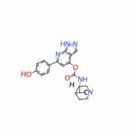 O=C(N[C@H]1CN2CCC1CC2)Oc1cc(-c2ccc(O)cc2)nc2[nH]ncc12